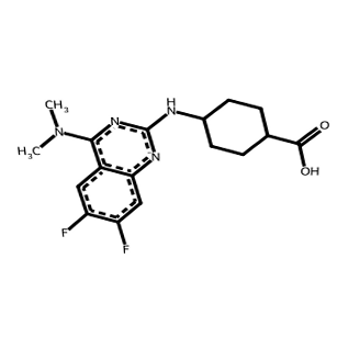 CN(C)c1nc(NC2CCC(C(=O)O)CC2)nc2cc(F)c(F)cc12